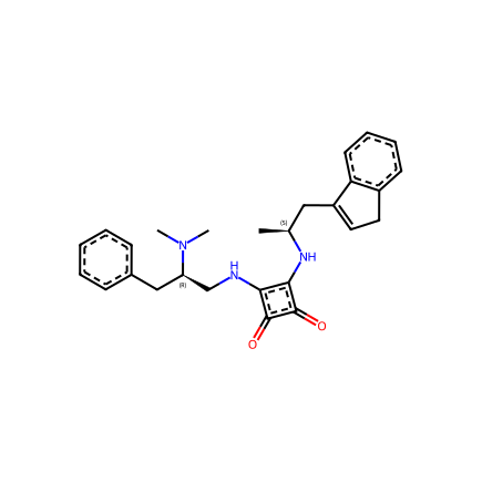 C[C@@H](CC1=CCc2ccccc21)Nc1c(NC[C@@H](Cc2ccccc2)N(C)C)c(=O)c1=O